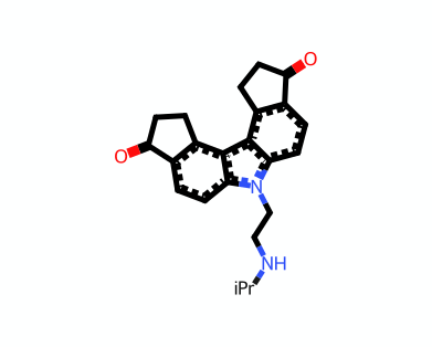 CC(C)NCCn1c2ccc3c(c2c2c4c(ccc21)C(=O)CC4)CCC3=O